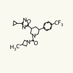 CC1CN(C(=O)N2CC(c3ccc(C(F)(F)F)cc3)CC(c3nc(C4CC4)no3)C2)C1